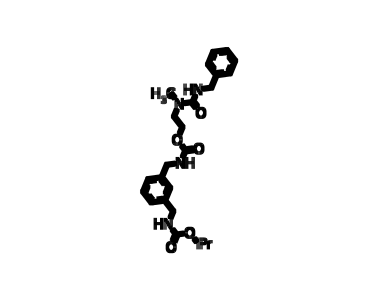 CC(C)OC(=O)NCc1cccc(CNC(=O)OCCN(C)C(=O)NCc2ccccc2)c1